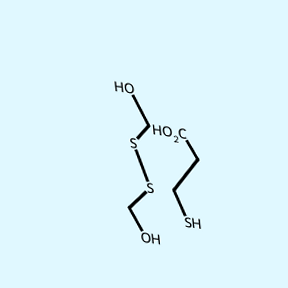 O=C(O)CCS.OCSSCO